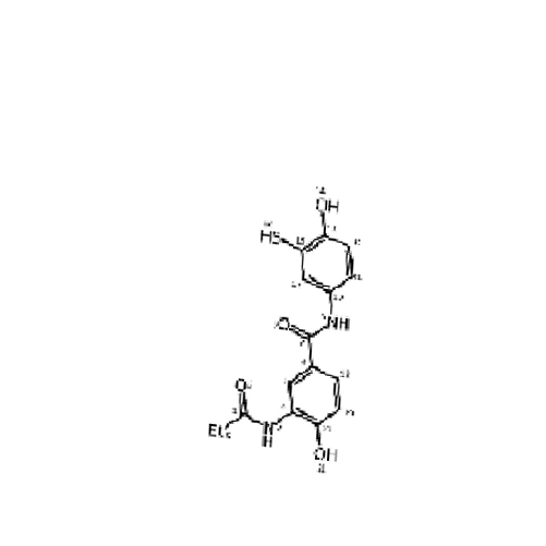 CCC(=O)Nc1cc(C(=O)Nc2ccc(O)c(S)c2)ccc1O